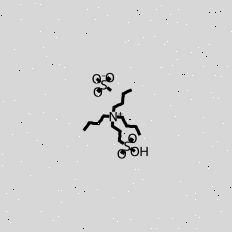 CCCC[N+](CCCC)(CCCC)CCCS(=O)(=O)O.CS(=O)(=O)[O-]